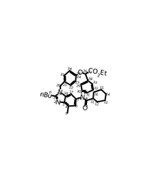 CCCCc1nc2c(C)cc(NC(=O)C3CCCCC3)cc2n1Cc1ccc(OC(C(=O)OCC)c2ccccc2)cc1